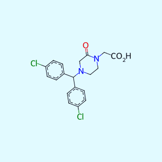 O=C(O)CN1CCN(C(c2ccc(Cl)cc2)c2ccc(Cl)cc2)CC1=O